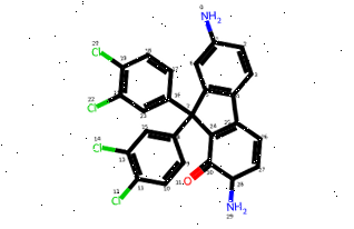 Nc1ccc2c(c1)C(c1ccc(Cl)c(Cl)c1)(c1ccc(Cl)c(Cl)c1)C1=C2C=CC(N)C1=O